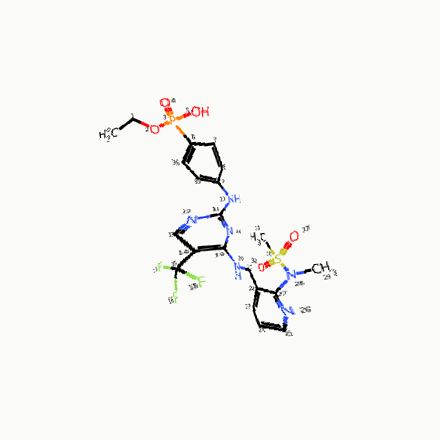 CCOP(=O)(O)c1ccc(Nc2ncc(C(F)(F)F)c(NCc3cccnc3N(C)S(C)(=O)=O)n2)cc1